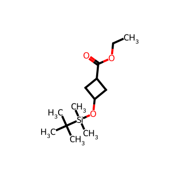 CCOC(=O)C1CC(O[Si](C)(C)C(C)(C)C)C1